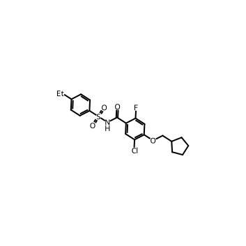 CCc1ccc(S(=O)(=O)NC(=O)c2cc(Cl)c(OCC3CCCC3)cc2F)cc1